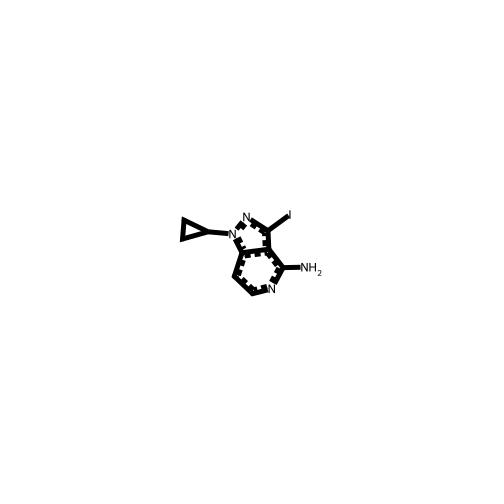 Nc1nccc2c1c(I)nn2C1CC1